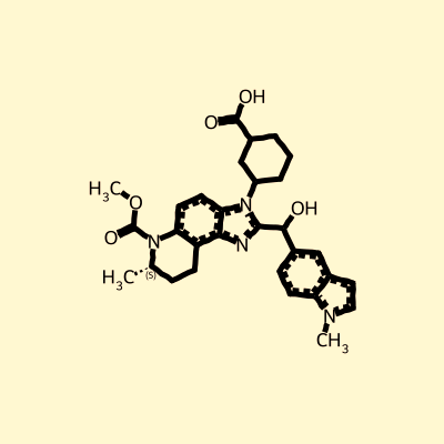 COC(=O)N1c2ccc3c(nc(C(O)c4ccc5c(ccn5C)c4)n3C3CCCC(C(=O)O)C3)c2CC[C@@H]1C